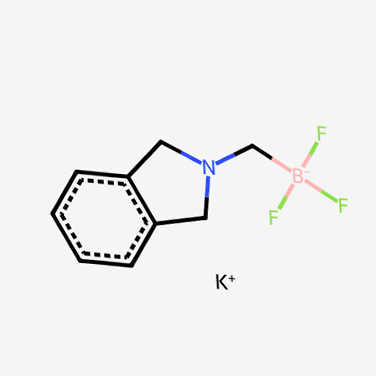 F[B-](F)(F)CN1Cc2ccccc2C1.[K+]